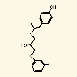 Cc1cccc(OCC(O)CNC(C)Cc2ccc(O)cc2)c1